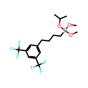 CO[Si](CCCCc1cc(C(F)(F)F)cc(C(F)(F)F)c1)(OC)OC(C)C